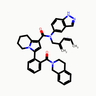 C=C(/C=C\C)CN(C(=O)c1cc(-c2ccccc2C(=O)N2CCc3ccccc3C2)n2c1CCCC2)c1ccc2[nH]ncc2c1